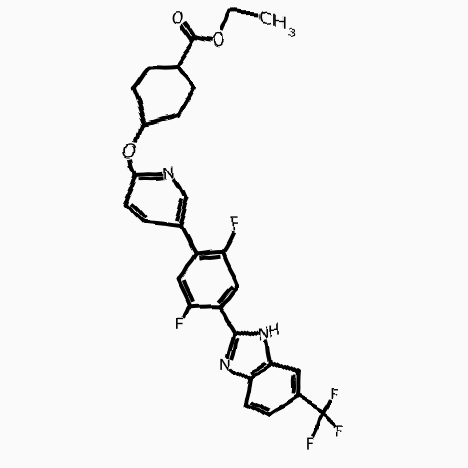 CCOC(=O)C1CCC(Oc2ccc(-c3cc(F)c(-c4nc5ccc(C(F)(F)F)cc5[nH]4)cc3F)cn2)CC1